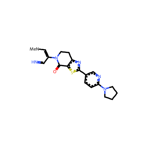 CN/C=C(\C=N)N1CCc2nc(-c3ccc(N4CCCC4)nc3)sc2C1=O